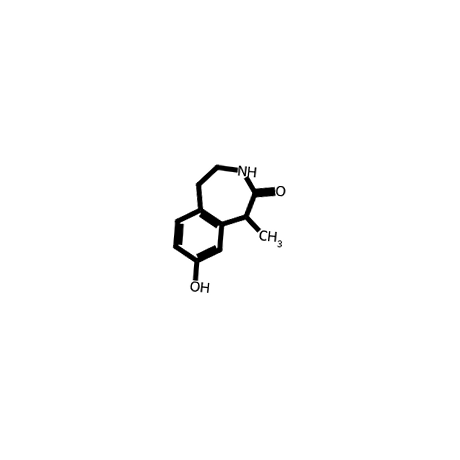 CC1C(=O)NCCc2ccc(O)cc21